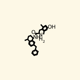 Cc1cc(O)cc(C)c1CC(N)C(=O)NC1CCC(C)c2ccc(Cc3ccccc3)cc21